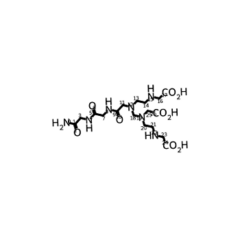 NC(=O)CNC(=O)CNC(=O)CN(CCNCC(=O)O)CN(CCNCC(=O)O)CC(=O)O